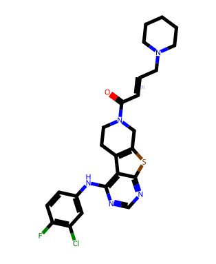 O=C(/C=C/CN1CCCCC1)N1CCc2c(sc3ncnc(Nc4ccc(F)c(Cl)c4)c23)C1